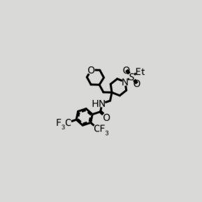 CCS(=O)(=O)N1CCC(CNC(=O)c2ccc(C(F)(F)F)cc2C(F)(F)F)(CC2CCOCC2)CC1